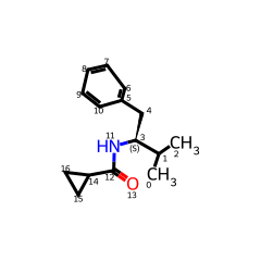 CC(C)[C@H](Cc1ccccc1)NC(=O)C1CC1